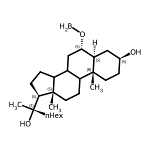 BO[C@H]1CC2C3CC[C@H]([C@@](C)(O)CCCCCC)[C@@]3(C)CCC2[C@@]2(C)CC[C@H](O)C[C@H]12